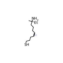 CC[C@](C)(N)CCC/C=C\CCCS